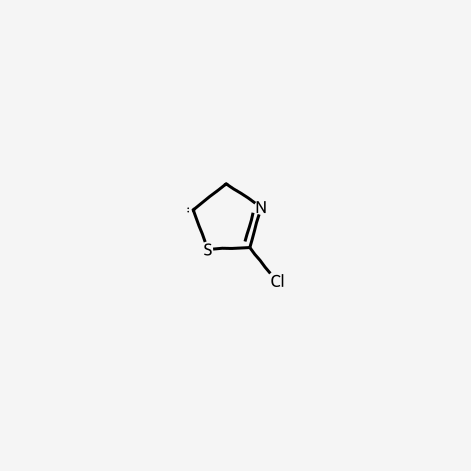 ClC1=NC[C]S1